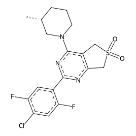 C[C@@H]1CCCN(c2nc(-c3cc(F)c(Cl)cc3F)nc3c2CS(=O)(=O)C3)C1